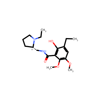 CCc1cc(OC)c(OC)c(C(=O)NC[C@@H]2CCCN2CC)c1O